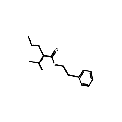 CCCC(C(=O)OCCc1ccccc1)C(C)C